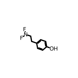 Oc1ccc(CCN(F)F)cc1